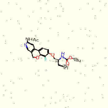 CC(=O)Nc1cc2c(cn1)COc1c-2ccc(OC[C@H](CC(C)C)NC(=O)OC(C)(C)C)c1F